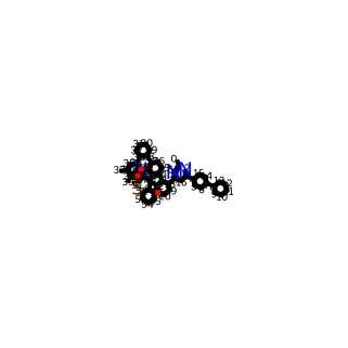 Cc1nc(-c2ccc(-c3ccccc3)cc2)cc(-c2cccc3c2-c2ccc(-c4ccccc4-c4cc(C)c(C)cn4)cc2C32c3ccccc3Sc3ccccc32)n1